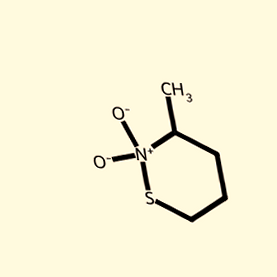 CC1CCCS[N+]1([O-])[O-]